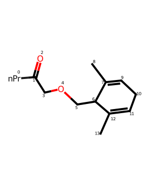 CCCC(=O)COCC1C(C)=CCC=C1C